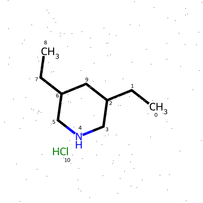 CCC1CNCC(CC)C1.Cl